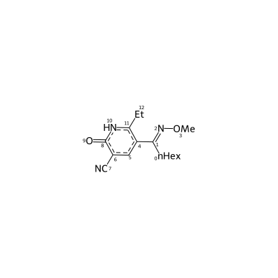 CCCCCCC(=NOC)c1cc(C#N)c(=O)[nH]c1CC